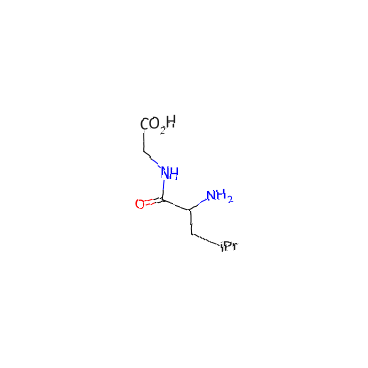 CC(C)CC(N)C(=O)NCC(=O)O